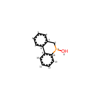 OP1Cc2ccccc2-c2ccccc21